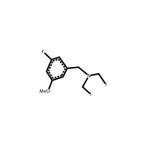 COc1cc(F)cc(CN(CI)CI)c1